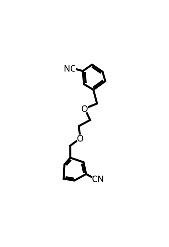 N#Cc1cccc(COCCOCc2cccc(C#N)c2)c1